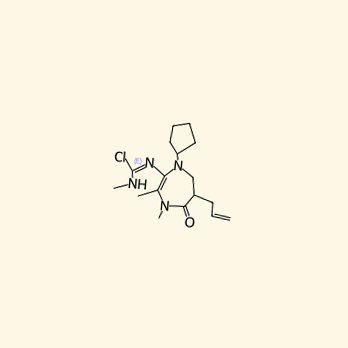 C=CCC1CN(C2CCCC2)C(/N=C(/Cl)NC)=C(C)N(C)C1=O